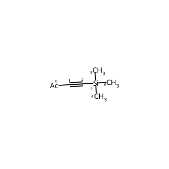 CC(=O)C#C[Si](C)(C)C